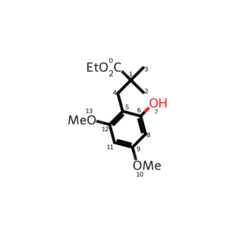 CCOC(=O)C(C)(C)Cc1c(O)cc(OC)cc1OC